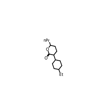 CCCC1CCC(C2CCC(CC)CC2)C(=O)O1